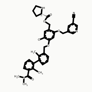 Cc1c(COc2cc(OCc3cncc(C#N)c3)c(COC(=O)[C@@H]3CCCN3)cc2Cl)cccc1-c1cccc(C(=O)N(C)C)c1C